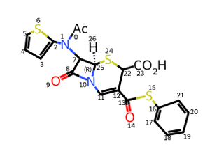 CC(=O)N(c1cccs1)C1C(=O)N2C=C(C(=O)Sc3ccccc3)C(C(=O)O)S[C@H]12